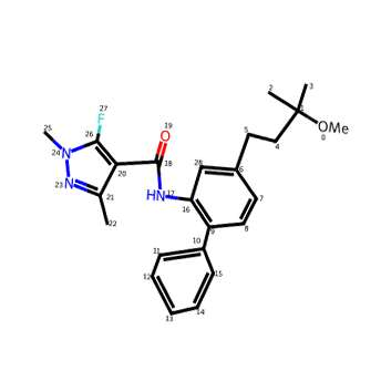 COC(C)(C)CCc1ccc(-c2ccccc2)c(NC(=O)c2c(C)nn(C)c2F)c1